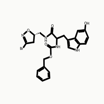 O=C(NC(Cc1c[nH]c2ccc(O)cc12)C(=O)NC[C@@H]1CC(Br)=NO1)OCc1ccccc1